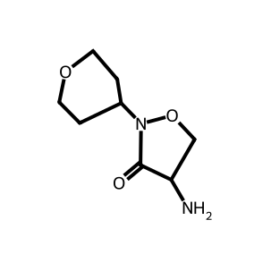 NC1CON(C2CCOCC2)C1=O